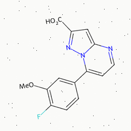 COc1cc(-c2ccnc3cc(C(=O)O)nn23)ccc1F